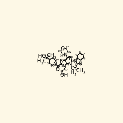 CC(C)c1nc2ccccc2n1-c1nc(N2CCOCC2)c2nc(C(=O)N3CCC(C(C)(C)O)CC3)n(CCO)c2n1